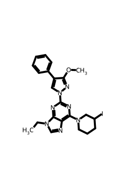 CCn1cnc2c(N3CCCC(I)C3)nc(-n3cc(-c4ccccc4)c(OC)n3)nc21